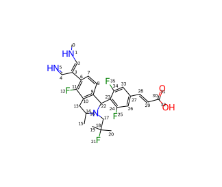 CN/C=C(\C=N)c1ccc2c(c1F)CC(C)N(CC(C)(C)F)C2c1c(F)cc(/C=C/C(=O)O)cc1F